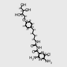 Nc1nc(N)c(C(=O)NC(=O)NCCCCc2ccc(OCC(O)C(O)CO)cc2)nc1Cl